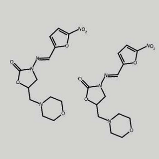 O=C1OC(CN2CCOCC2)CN1N=Cc1ccc([N+](=O)[O-])o1.O=C1OC(CN2CCOCC2)CN1N=Cc1ccc([N+](=O)[O-])o1